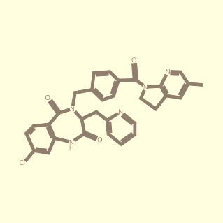 Cc1cnc2c(c1)CCN2C(=O)c1ccc(CN2C(=O)c3ccc(Cl)cc3NC(=O)C2Cc2ccccn2)cc1